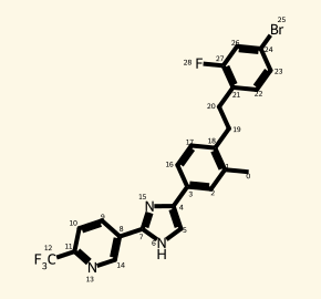 Cc1cc(-c2c[nH]c(-c3ccc(C(F)(F)F)nc3)n2)ccc1CCc1ccc(Br)cc1F